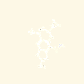 C=Cc1cc2c(c(BN)c1/C=C(\CCC)C1CC1)CC(C)C2